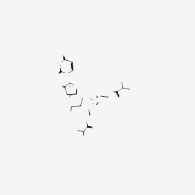 CC(C)C(=O)OCOP(=O)(OCOC(=O)C(C)C)OC(CCF)[C@H]1O[C@@H](n2ccc(=O)[nH]c2=O)[C@](C)(O)[C@@H]1O